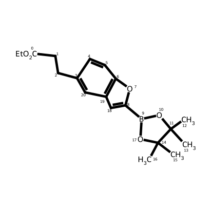 CCOC(=O)CCc1ccc2oc(B3OC(C)(C)C(C)(C)O3)cc2c1